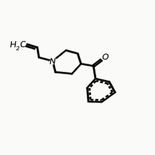 C=CCN1CCC(C(=O)c2ccccc2)CC1